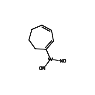 O=[N][W]([N]=O)[C]1=CC=CCCC1